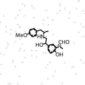 COc1ccc(CC(C)NCC(O)c2ccc(O)c(N(C)C=O)c2)cc1